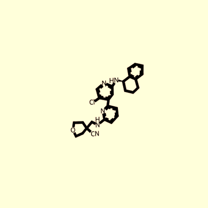 N#CC1(CNc2cccc(-c3cc(N[C@@H]4CCCc5ccccc54)ncc3Cl)n2)CCOCC1